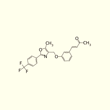 CC(=O)C=Cc1cccc(OCc2nc(-c3ccc(C(F)(F)F)cc3)oc2C)c1